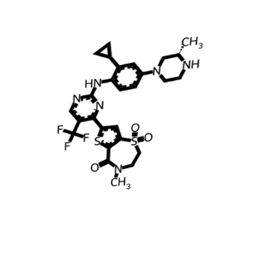 C[C@H]1CN(c2ccc(Nc3ncc(C(F)(F)F)c(-c4cc5c(s4)C(=O)N(C)CCS5(=O)=O)n3)c(C3CC3)c2)CCN1